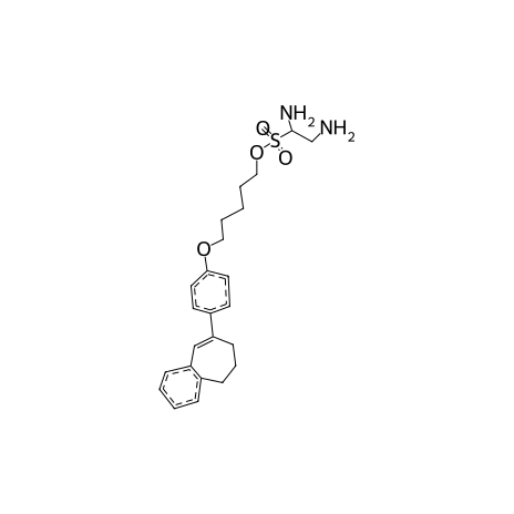 NCC(N)S(=O)(=O)OCCCCCOc1ccc(C2=Cc3ccccc3CCC2)cc1